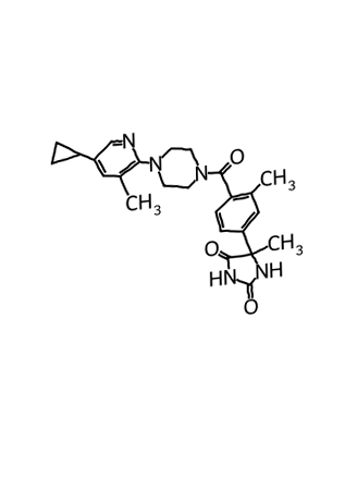 Cc1cc(C2(C)NC(=O)NC2=O)ccc1C(=O)N1CCN(c2ncc(C3CC3)cc2C)CC1